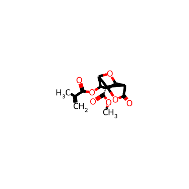 C=C(C)C(=O)OC1C2OC(=O)C3C2OC1[C@H]3C(=O)OC